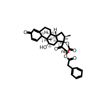 CCCCC(=O)O[C@]1(C(=O)COC(=O)Cc2ccccc2)[C@H](C)C[C@H]2[C@@H]3CCC4=CC(=O)C=C[C@]4(C)[C@@]3(F)[C@@H](O)C[C@@]21C